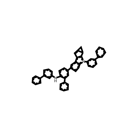 C1=C2CC2c2c1c1cc(-c3ccc(Nc4cccc(-c5ccccc5)c4)c(-c4ccccc4)c3)ccc1n2-c1cccc(-c2ccccc2)c1